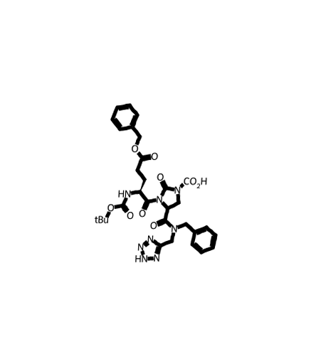 CC(C)(C)OC(=O)N[C@@H](CCC(=O)OCc1ccccc1)C(=O)N1C(=O)N(C(=O)O)CC1C(=O)N(Cc1ccccc1)Cc1nn[nH]n1